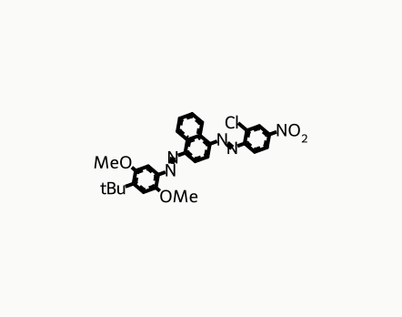 COc1cc(C(C)(C)C)c(OC)cc1N=Nc1ccc(N=Nc2ccc([N+](=O)[O-])cc2Cl)c2ccccc12